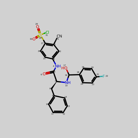 N#Cc1cc(NC(=O)[C@H](Cc2ccccc2)NC(O)c2ccc(F)cc2)ccc1S(=O)(=O)Cl